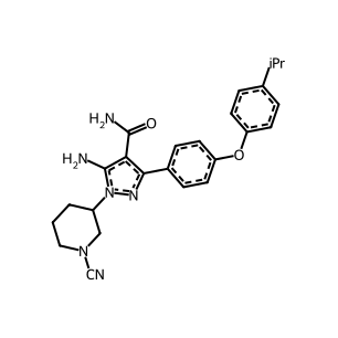 CC(C)c1ccc(Oc2ccc(-c3nn(C4CCCN(C#N)C4)c(N)c3C(N)=O)cc2)cc1